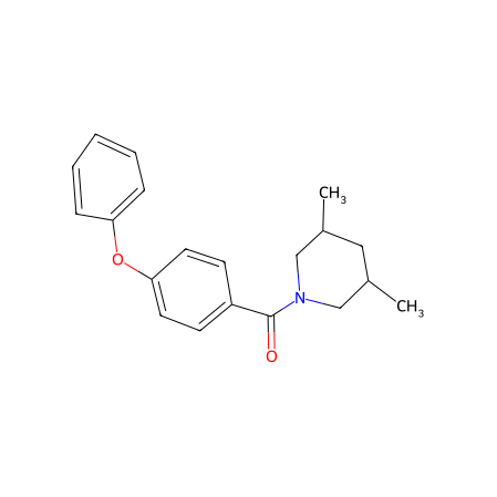 CC1CC(C)CN(C(=O)c2ccc(Oc3ccccc3)cc2)C1